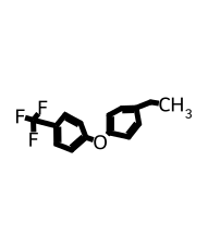 CCc1ccc(Oc2ccc(C(F)(F)F)cc2)cc1